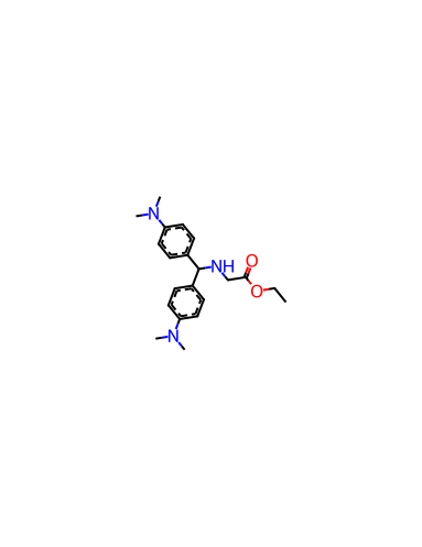 CCOC(=O)CNC(c1ccc(N(C)C)cc1)c1ccc(N(C)C)cc1